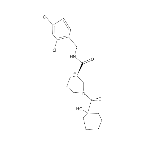 O=C(NCc1ccc(Cl)cc1Cl)[C@@H]1CCCN(C(=O)C2(O)CCCCC2)C1